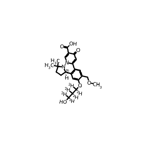 [2H]C([2H])(O)C([2H])([2H])C([2H])([2H])Oc1cc2c(cc1COC)-c1cc(=O)c(C(=O)O)cn1N1[C@@H]2CCC1(C)C